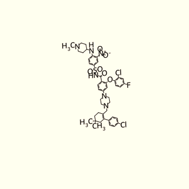 CN1CCC(Nc2ccc(S(=O)(=O)NC(=O)c3ccc(N4CCN(CC5=C(c6ccc(Cl)cc6)CC(C)(C)CC5)CC4)cc3Oc3ccc(F)cc3Cl)cc2[N+](=O)[O-])CC1